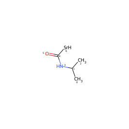 CC(C)N[C](=O)[SrH]